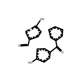 O=C(c1ccccc1)c1ccc(O)cc1.O=Cc1ccc(O)cc1